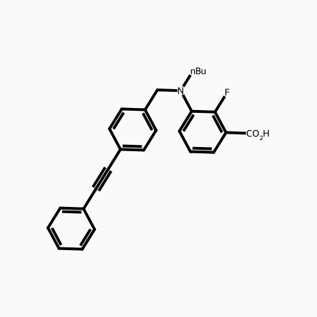 CCCCN(Cc1ccc(C#Cc2ccccc2)cc1)c1cccc(C(=O)O)c1F